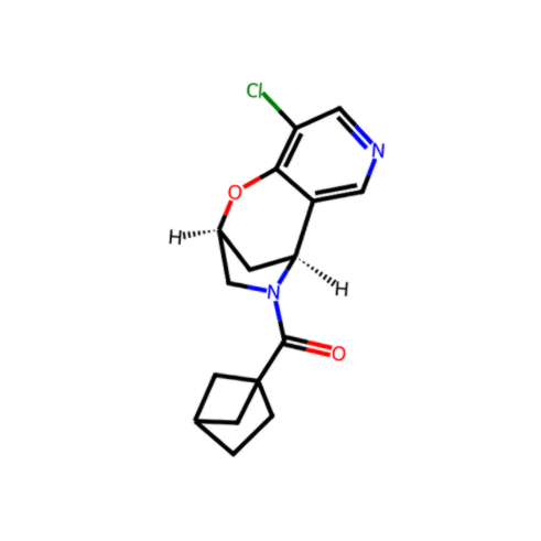 O=C(N1C[C@@H]2C[C@H]1c1cncc(Cl)c1O2)C12CCC(C1)C2